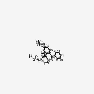 CCN1CCN2C[C@H](c3ccccc3)c3ccccc3[C@H]2C1.Cl.Cl